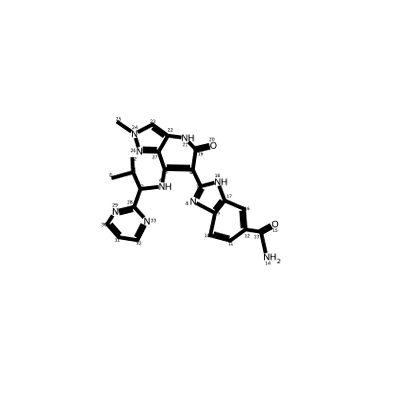 CC(C)C(Nc1c(-c2nc3ccc(C(N)=O)cc3[nH]2)c(=O)[nH]c2cn(C)nc12)c1ncccn1